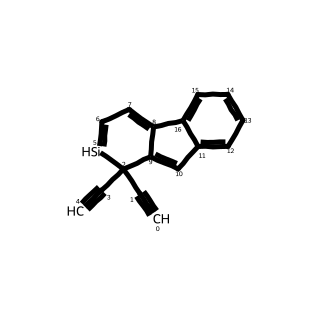 C#CC1(C#C)[SiH]=CC=C2C1=Cc1ccccc12